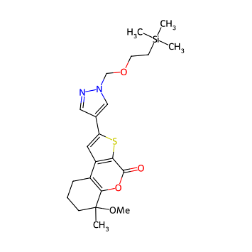 COC1(C)CCCc2c1oc(=O)c1sc(-c3cnn(COCC[Si](C)(C)C)c3)cc21